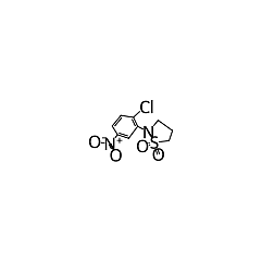 O=[N+]([O-])c1ccc(Cl)c(N2CCCS2(=O)=O)c1